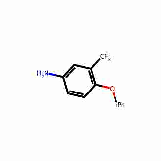 CC(C)Oc1ccc(N)cc1C(F)(F)F